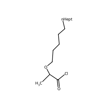 CCCCCCCCCCCCOC(C)C(=O)Cl